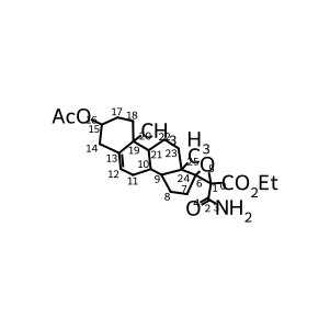 CCOC(=O)C1(C(N)=O)OC12CCC1C3CC=C4CC(OC(C)=O)CCC4(C)C3CCC12C